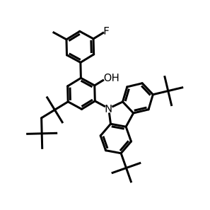 Cc1cc(F)cc(-c2cc(C(C)(C)CC(C)(C)C)cc(-n3c4ccc(C(C)(C)C)cc4c4cc(C(C)(C)C)ccc43)c2O)c1